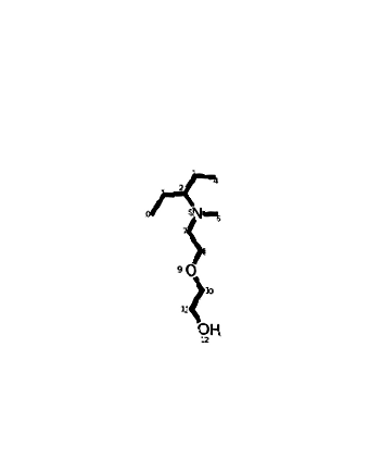 CCC(CC)N(C)CCOCCO